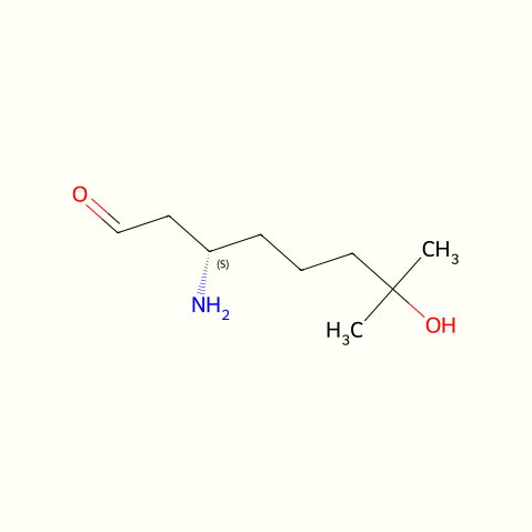 CC(C)(O)CCC[C@H](N)CC=O